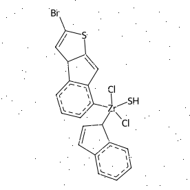 [SH][Zr]([Cl])([Cl])([c]1cccc2c1C=C1SC(Br)=CC12)[CH]1C=Cc2ccccc21